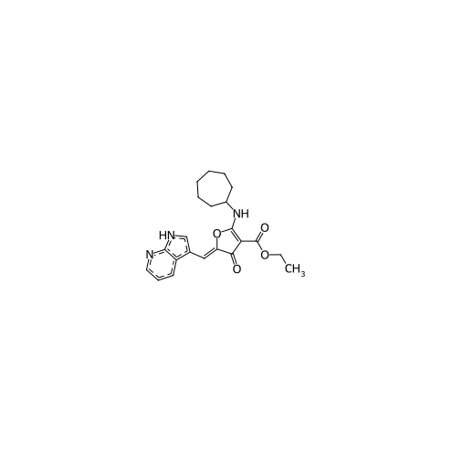 CCOC(=O)C1=C(NC2CCCCCC2)OC(=Cc2c[nH]c3ncccc23)C1=O